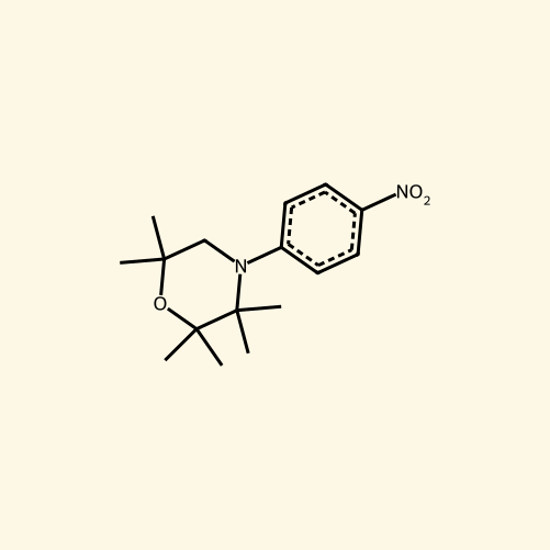 CC1(C)CN(c2ccc([N+](=O)[O-])cc2)C(C)(C)C(C)(C)O1